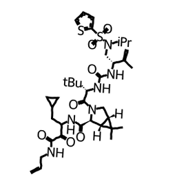 C=CCNC(=O)C(=O)C(CC1CC1)NC(=O)[C@@H]1[C@@H]2[C@H](CN1C(=O)[C@@H](NC(=O)N[C@H](CN(C(C)C)S(=O)(=O)c1cccs1)C(=C)C)C(C)(C)C)C2(C)C